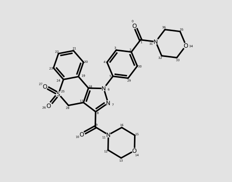 O=C(c1ccc(-n2nc(C(=O)N3CCOCC3)c3c2-c2ccccc2S(=O)(=O)C3)cc1)N1CCOCC1